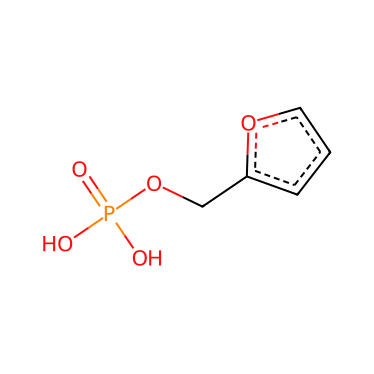 O=P(O)(O)OCc1ccco1